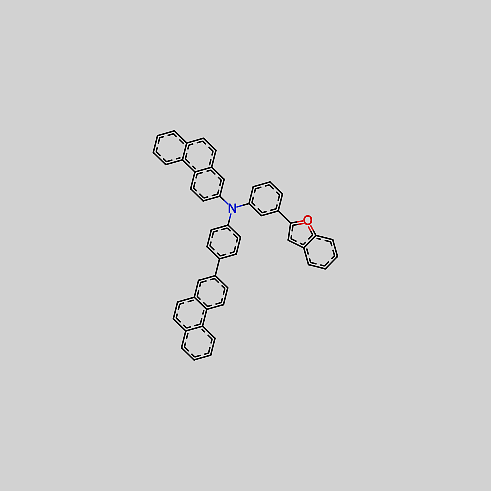 c1cc(-c2cc3ccccc3o2)cc(N(c2ccc(-c3ccc4c(ccc5ccccc54)c3)cc2)c2ccc3c(ccc4ccccc43)c2)c1